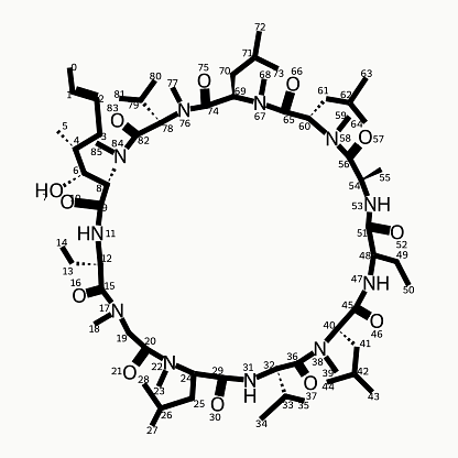 C/C=C/C[C@@H](C)[C@@H](O)[C@H]1C(=O)N[C@@H](CC)C(=O)N(C)CC(=O)N(C)C(CC(C)C)C(=O)N[C@@H](C(C)C)C(=O)N(C)[C@@H](CC(C)C)C(=O)NC(CC)C(=O)N[C@H](C)C(=O)N(C)[C@@H](CC(C)C)C(=O)N(C)[C@H](CC(C)C)C(=O)N(C)[C@@H](C(C)C)C(=O)N1C